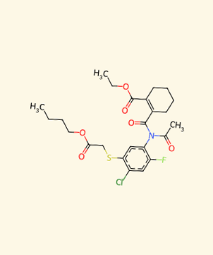 CCCCOC(=O)CSc1cc(N(C(C)=O)C(=O)C2=C(C(=O)OCC)CCCC2)c(F)cc1Cl